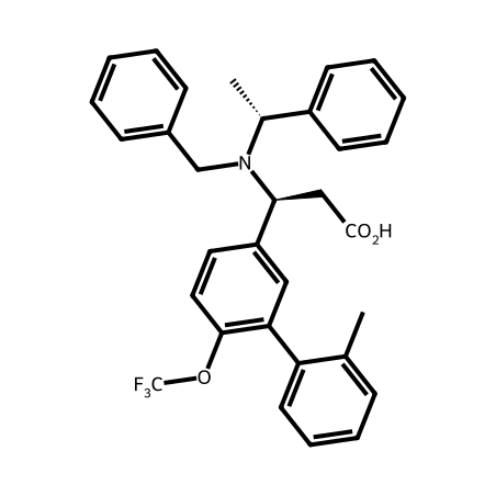 Cc1ccccc1-c1cc([C@H](CC(=O)O)N(Cc2ccccc2)[C@H](C)c2ccccc2)ccc1OC(F)(F)F